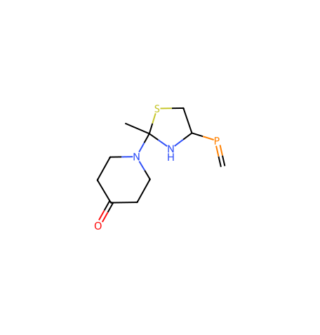 C=PC1CSC(C)(N2CCC(=O)CC2)N1